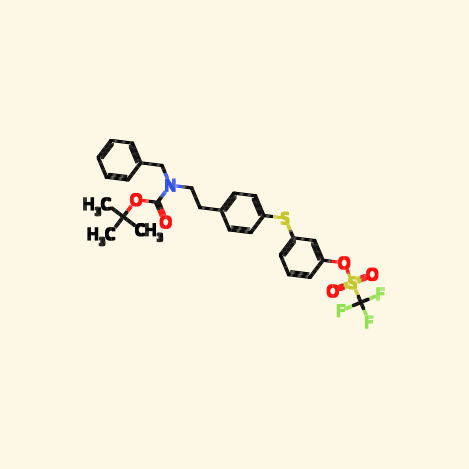 CC(C)(C)OC(=O)N(CCc1ccc(Sc2cccc(OS(=O)(=O)C(F)(F)F)c2)cc1)Cc1ccccc1